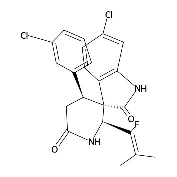 CC(C)=C(F)[C@H]1NC(=O)C[C@@H](c2cccc(Cl)c2)[C@]12C(=O)Nc1cc(Cl)ccc12